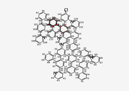 Clc1ccc(-c2ccc3c(c2)c2cccc4c5cc(-c6ccc(Cl)cc6-c6cc(-c7ccccc7-c7ccc(-c8ccccn8)cc7-c7ccccc7)cc(-c7ccccc7-c7ccc(-c8ccccn8)cc7-c7ccccc7)c6)ccc5c5ncnc3c5c24)c(-c2cc(-c3ccccc3-c3ccc(-c4ccccn4)cc3-c3ccccc3)cc(-c3ccccc3-c3ccc(-c4ccccn4)cc3-c3ccccc3)c2)c1